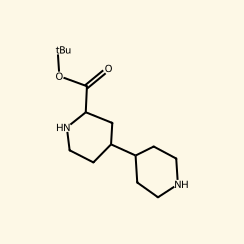 CC(C)(C)OC(=O)C1CC(C2CCNCC2)CCN1